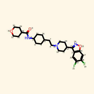 O=C(NC1CCC(CCN2CCC(c3noc4cc(F)c(F)cc34)CC2)CC1)C1CCOCC1